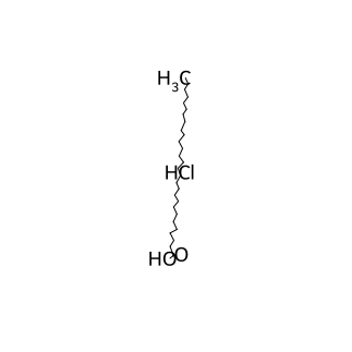 CCCCCCCCCCCCCCCCCCCCCCCCCCCC(=O)O.Cl